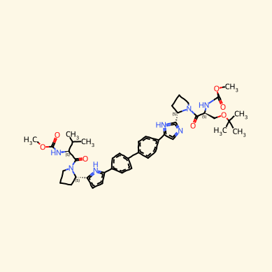 COC(=O)N[C@@H](COC(C)(C)C)C(=O)N1CCC[C@H]1c1ncc(-c2ccc(-c3ccc(-c4ccc([C@@H]5CCCN5C(=O)[C@@H](NC(=O)OC)C(C)C)[nH]4)cc3)cc2)[nH]1